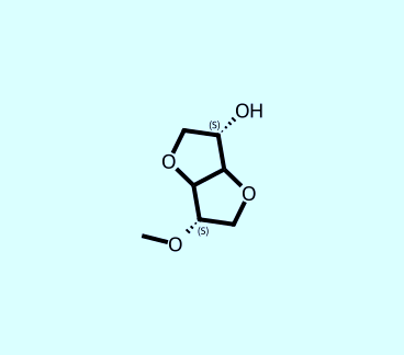 CO[C@H]1COC2C1OC[C@@H]2O